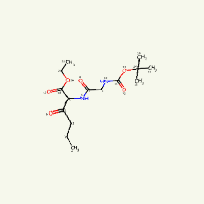 CCCC(=O)C(NC(=O)CNC(=O)OC(C)(C)C)C(=O)OCC